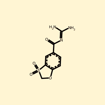 NC(N)=NC(=O)c1ccc2c(c1)S(=O)(=O)CO2